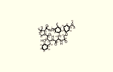 Cc1ccccc1CNC(=O)C1N(C(=O)[C@@H](O)[C@H](Cc2ccccc2)NC(=O)C(NC(=O)COc2cccc(N(C)C)c2)C(C)C)CSC1(C)C